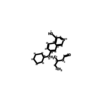 CCC(C)OC=O.Oc1cncc2cc(OC3CCCCC3)ccc12